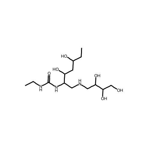 CCNC(=O)NC(CNCC(O)C(O)CO)C(O)CC(O)CC